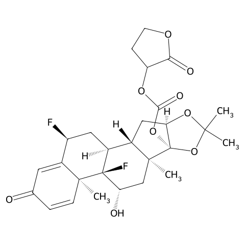 CC1(C)O[C@@H]2C[C@H]3[C@@H]4C[C@H](F)C5=CC(=O)C=C[C@]5(C)[C@@]4(F)[C@@H](O)C[C@]3(C)[C@]2(OC(=O)OC2CCOC2=O)O1